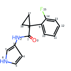 O=C(Nc1cc[nH]c1)C1(c2ccccc2F)CC1